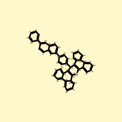 c1ccc(-c2ccc3cc(-c4ccc(C5c6c(c7ccccc7c7ccccc67)Sc6c5c5ccccc5c5ccccc65)cc4)ccc3c2)cc1